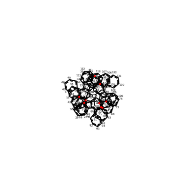 c1ccc([C]([Cr]([C](c2ccccc2)([Si](c2ccccc2)(c2ccccc2)c2ccccc2)[Si](c2ccccc2)(c2ccccc2)c2ccccc2)[C](c2ccccc2)([Si](c2ccccc2)(c2ccccc2)c2ccccc2)[Si](c2ccccc2)(c2ccccc2)c2ccccc2)([Si](c2ccccc2)(c2ccccc2)c2ccccc2)[Si](c2ccccc2)(c2ccccc2)c2ccccc2)cc1